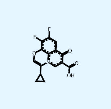 O=C(O)c1cn2c3c(c(F)c(F)cc3c1=O)OC=C2C1CC1